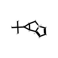 CC(C)(C)C1C2Cn3cccc3C21